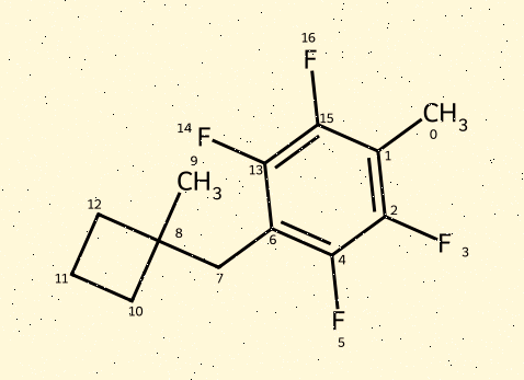 Cc1c(F)c(F)c(CC2(C)CCC2)c(F)c1F